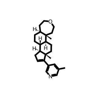 Cc1cncc(C2=CC[C@H]3[C@@H]4CC[C@H]5CCOCC[C@]5(C)[C@H]4CC[C@]23C)c1